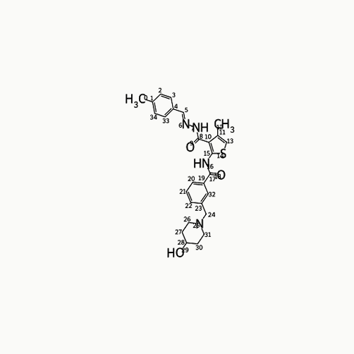 Cc1ccc(/C=N/NC(=O)c2c(C)csc2NC(=O)c2cccc(CN3CCC(O)CC3)c2)cc1